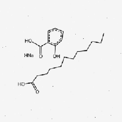 CCCCCCCCCCCC(=O)O.O=C(O)c1ccccc1O.[NaH]